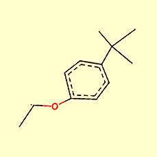 C[CH]Oc1ccc(C(C)(C)C)cc1